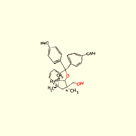 COc1ccc(C(OC2C(C)(C)[C@H](C)C[C@]2(C)CO)(c2ccccc2)c2ccc(OC)cc2)cc1